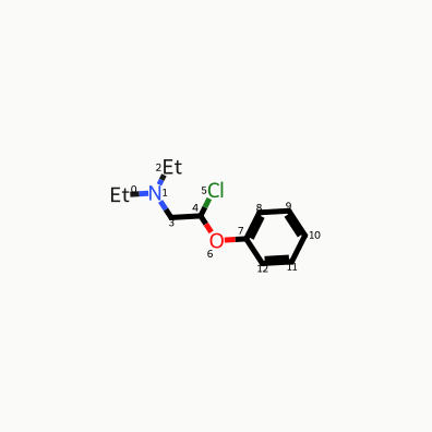 CCN(CC)CC(Cl)Oc1ccccc1